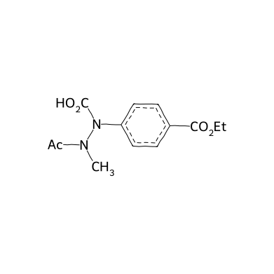 CCOC(=O)c1ccc(N(C(=O)O)N(C)C(C)=O)cc1